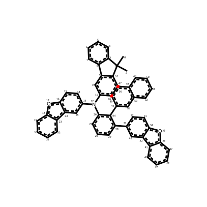 CC1(C)c2ccccc2-c2cc(N(c3ccc4oc5ccccc5c4c3)c3cccc(-c4ccc5oc6ccccc6c5c4)c3-c3ccc4ccccc4c3)ccc21